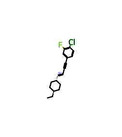 CC[C@H]1CC[C@H](/C=C/C#Cc2ccc(Cl)c(F)c2)CC1